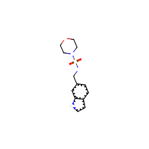 O=S(=O)(NCc1ccc2cc[nH]c2c1)N1CCOCC1